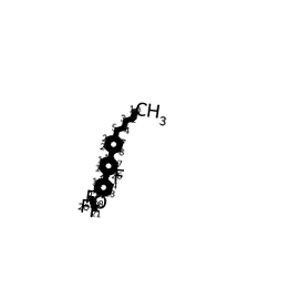 C/C=C/CCCc1ccc(-c2ccc(-c3ccc(OC(F)(F)F)cc3)c(F)c2)cc1